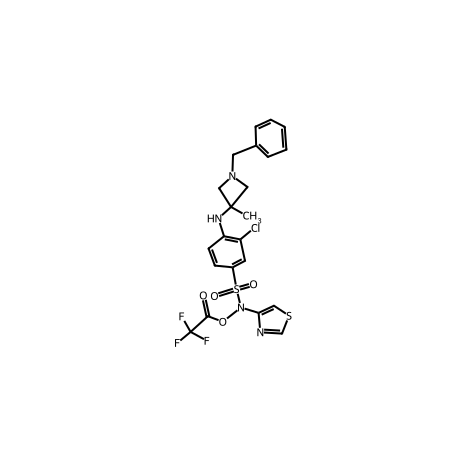 CC1(Nc2ccc(S(=O)(=O)N(OC(=O)C(F)(F)F)c3cscn3)cc2Cl)CN(Cc2ccccc2)C1